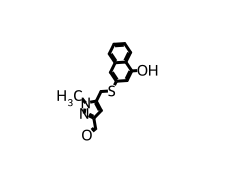 Cn1nc(C=O)cc1CSc1cc(O)c2ccccc2c1